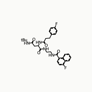 CC(C)(C)NC(=O)CC(NC(=O)CCc1ccc(F)cc1)C(=O)NCCNC(=O)c1ccc(F)c2ccccc12